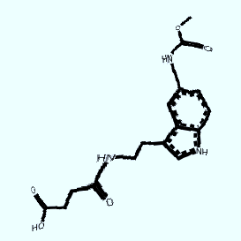 COC(=O)Nc1ccc2[nH]cc(CCNC(=O)CCC(=O)O)c2c1